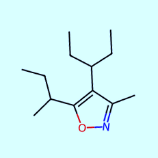 CCC(C)c1onc(C)c1C(CC)CC